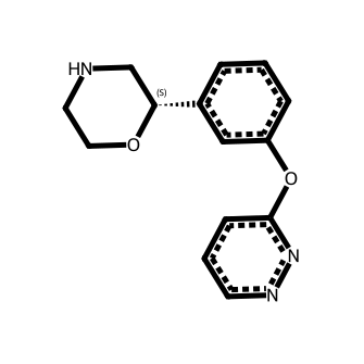 c1cc(Oc2cccnn2)cc([C@H]2CNCCO2)c1